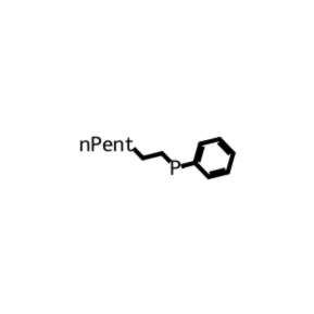 CCCCCCC[P]c1ccccc1